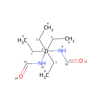 C[CH2][Zr]([CH2]C)([CH2]C)([CH2]C)([NH]C=O)[NH]C=O